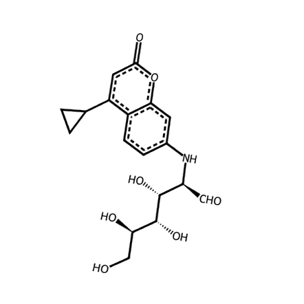 O=C[C@H](Nc1ccc2c(C3CC3)cc(=O)oc2c1)[C@@H](O)[C@H](O)[C@H](O)CO